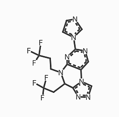 FC(F)(F)CCN1c2nc(-n3ccnc3)ncc2-n2cnnc2C1CC(F)(F)F